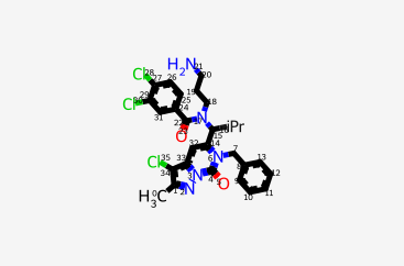 Cc1nn2c(=O)n(Cc3ccccc3)c(C(C(C)C)N(CCCN)C(=O)c3ccc(Cl)c(Cl)c3)cc2c1Cl